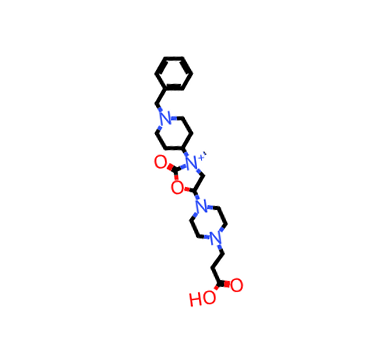 C[N+]1(C2CCN(Cc3ccccc3)CC2)CC(N2CCN(CCC(=O)O)CC2)OC1=O